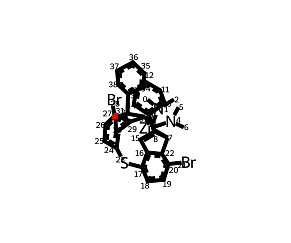 C[N](C)[Zr]1([N](C)C)[CH]2C(c3ccccc3)=Cc3c(ccc(Br)c32)Sc2ccc(Br)c3c2C=C(c2ccccc2)[CH]31